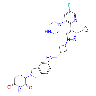 O=C1CCC(N2Cc3ccc(NC[C@H]4C[C@H](n5cc(-c6ncc(F)cc6N6CCNCC6)c(C6CC6)n5)C4)cc3C2)C(=O)N1